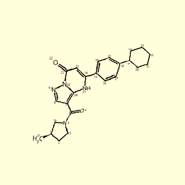 C[C@@H]1CCN(C(=O)c2cnn3c(=O)cc(-c4ccc(C5CCCCC5)cc4)[nH]c23)C1